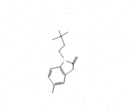 Cc1ccc2c(c1)CC(=O)N2CCC(C)(C)F